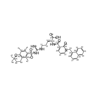 Cc1c(C)c(S(=O)(=O)NC(=N)NCCC[C@H](NC(=O)c2cccn(Cc3cccc4ccccc34)c2=O)C(=O)O)c(C)c2c1OC(C)(C)CC2